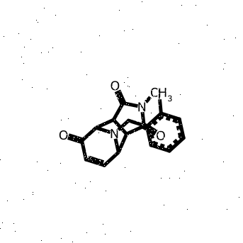 CN1C(=O)C2C(C1=O)C1C(=O)C=CC2N1Cc1ccccc1I